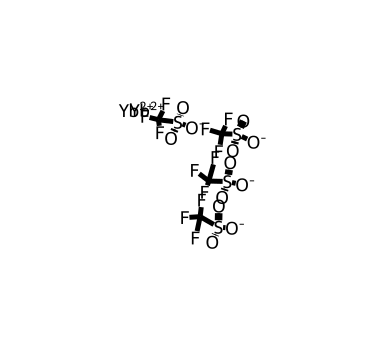 O=S(=O)([O-])C(F)(F)F.O=S(=O)([O-])C(F)(F)F.O=S(=O)([O-])C(F)(F)F.O=S(=O)([O-])C(F)(F)F.[Yb+2].[Yb+2]